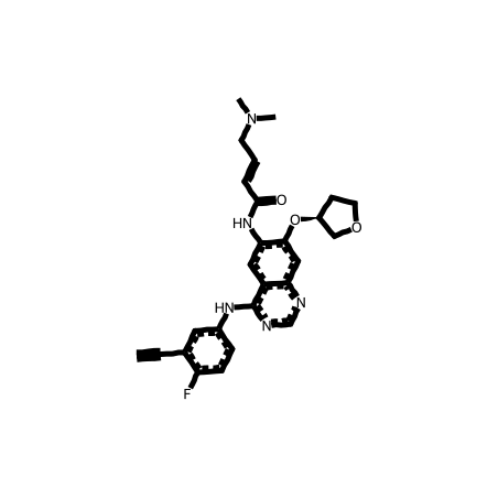 C#Cc1cc(Nc2ncnc3cc(O[C@H]4CCOC4)c(NC(=O)/C=C/CN(C)C)cc23)ccc1F